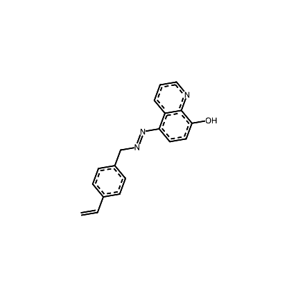 C=Cc1ccc(CN=Nc2ccc(O)c3ncccc23)cc1